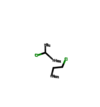 CCCCCCC(Cl)CCCC.CCCCCCCCCCCCl